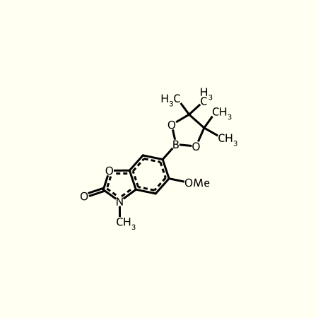 COc1cc2c(cc1B1OC(C)(C)C(C)(C)O1)oc(=O)n2C